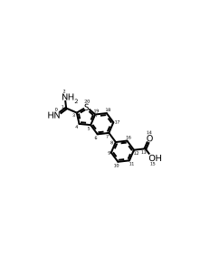 N=C(N)c1cc2cc(-c3cccc(C(=O)O)c3)ccc2s1